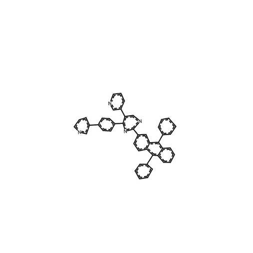 c1ccc(-c2c3ccccc3c(-c3ccccc3)c3cc(-c4ncc(-c5cccnc5)c(-c5ccc(-c6cccnc6)cc5)n4)ccc23)cc1